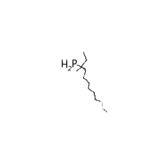 CCCCCCCCCC(C)(P)CC